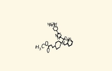 COC(=O)CCC1CCC(N(Cc2cccnc2)C(=O)c2nnc(C3CCNCC3)s2)CC1.Cl.Cl